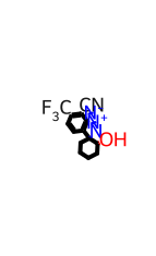 N#Cc1cc(C2(N=[N+]=[N-])CCCCC2O)ccc1C(F)(F)F